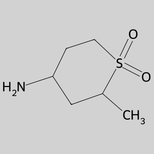 CC1CC(N)CCS1(=O)=O